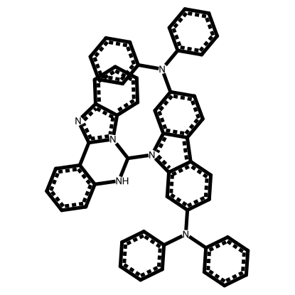 c1ccc(N(c2ccccc2)c2ccc3c4ccc(N(c5ccccc5)c5ccccc5)cc4n(C4Nc5ccccc5-c5nc6ccccc6n54)c3c2)cc1